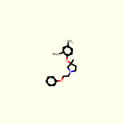 COc1cc([N+](=O)[O-])ccc1OC1(C)CCN(CCOc2ccccc2)C1